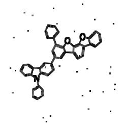 c1ccc(-c2cc(-c3ccc4c(c3)c3ccccc3n4-c3ccccc3)cc3c2oc2c3ccc3c4ccccc4oc32)cc1